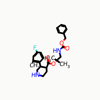 Cc1cc(F)ccc1C1CNCCC1C(=O)OC(C)(C)CNC(=O)OCc1ccccc1